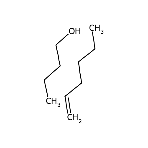 C=CCCCC.CCCCO